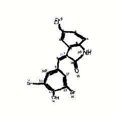 CCc1ccc2c(c1)/C(=C/c1cc(Br)c(O)c(Br)c1)C(=O)N2